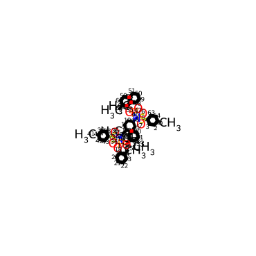 Cc1ccc(S(=O)(=O)N(C2CCC(C(C)(C)N(P(Oc3ccccc3C)Oc3ccccc3C)S(=O)(=O)c3ccc(C)cc3)CC2)P(Oc2ccccc2C)Oc2ccccc2C)cc1